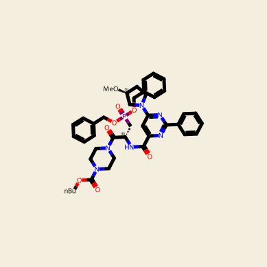 CCCCOC(=O)N1CCN(C(=O)[C@H](CP(=O)(OCc2ccccc2)OCc2ccccc2)NC(=O)c2cc(N3CC[C@H](OC)C3)nc(-c3ccccc3)n2)CC1